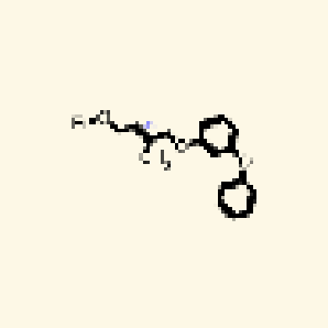 CCOC/C=C(\C)COc1cccc(Oc2ccccc2)c1